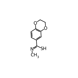 C/N=C(\S)c1ccc2c(c1)OCCO2